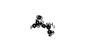 COc1ccc(-c2cnc(N)c(-c3ccc(NC(=O)c4cn(C[C@H]5COCCO5)cc(-c5ccc(F)cc5)c4=O)cc3)c2)cc1OC